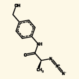 C[C@H](N=[N+]=[N-])C(=O)Nc1ccc(CO)cc1